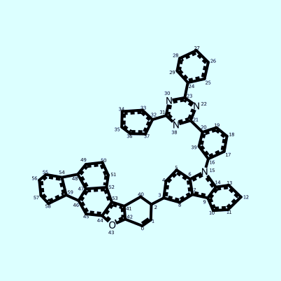 C1=CC(c2ccc3c(c2)c2ccccc2n3-c2cccc(-c3nc(-c4ccccc4)nc(-c4ccccc4)n3)c2)Cc2c1oc1cc3c4c(cccc4c21)-c1ccccc1-3